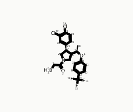 BCC(=O)N1CC([C@@H](C)Oc2ccc(C(F)(F)F)cc2)[C@H](c2ccc(Cl)c(Cl)c2)C1